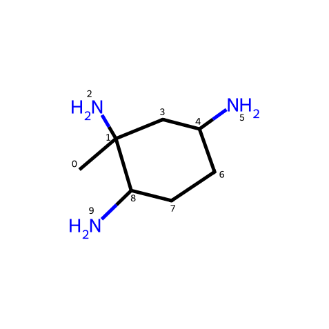 CC1(N)CC(N)CCC1N